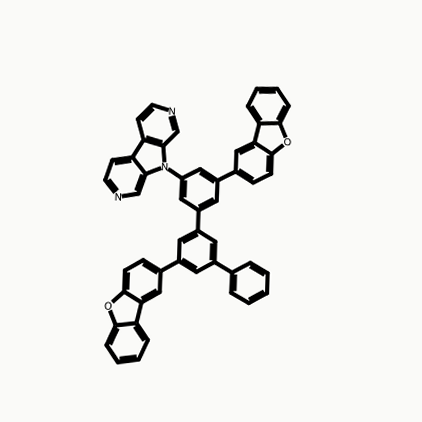 c1ccc(-c2cc(-c3cc(-c4ccc5oc6ccccc6c5c4)cc(-n4c5cnccc5c5ccncc54)c3)cc(-c3ccc4oc5ccccc5c4c3)c2)cc1